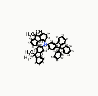 CC1(C)c2ccccc2-c2cc(N(c3ccc4c(c3)-c3ccccc3C4(c3ccccc3)c3ccccc3)c3cccc4c3-c3ccccc3C4(C)C)ccc21